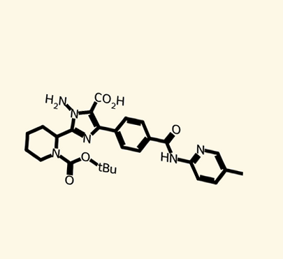 Cc1ccc(NC(=O)c2ccc(-c3nc(C4CCCCN4C(=O)OC(C)(C)C)n(N)c3C(=O)O)cc2)nc1